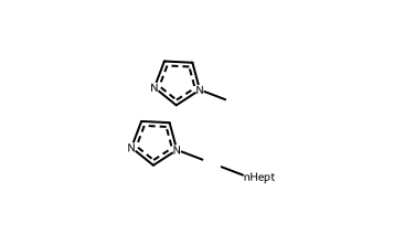 CCCCCCCC.Cn1ccnc1.Cn1ccnc1